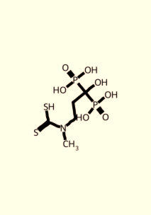 CN(CCC(O)(P(=O)(O)O)P(=O)(O)O)C(=S)S